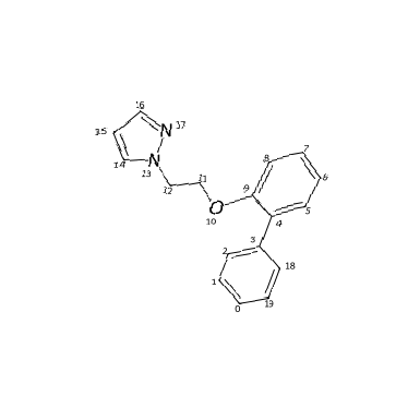 c1ccc(-c2ccccc2OCCn2cccn2)cc1